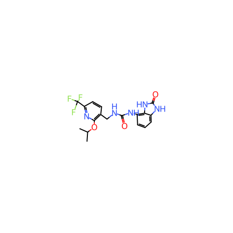 CC(C)Oc1nc(C(F)(F)F)ccc1CNC(=O)Nc1cccc2[nH]c(=O)[nH]c12